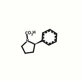 O=C(O)N1CCC[C@@H]1c1ccccc1